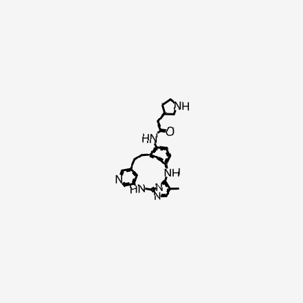 Cc1cnc2nc1Nc1ccc(NC(=O)CC3CCNC3)c(c1)CCc1cncc(c1)N2